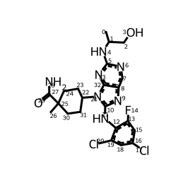 CC(CO)Nc1ncc2nc(Nc3c(F)cc(Cl)cc3Cl)n(C3CCC(C)(C(N)=O)CC3)c2n1